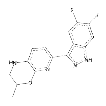 CC1CNc2ccc(-c3n[nH]c4cc(I)c(F)cc34)nc2O1